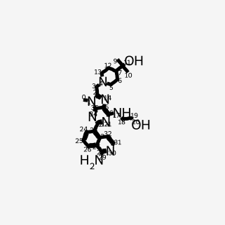 Cn1c(CN2CCC(C(C)(C)O)CC2)nc2c(NCCO)nc(-c3cccc4c(N)nccc34)nc21